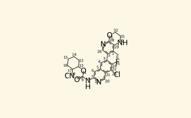 Cc1c(-c2cc3cc(NC(=O)OC4CCCCC4C#N)ncc3c(Cl)c2F)cnc2c1NCCO2